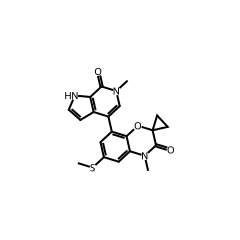 CSc1cc(-c2cn(C)c(=O)c3[nH]ccc23)c2c(c1)N(C)C(=O)C1(CC1)O2